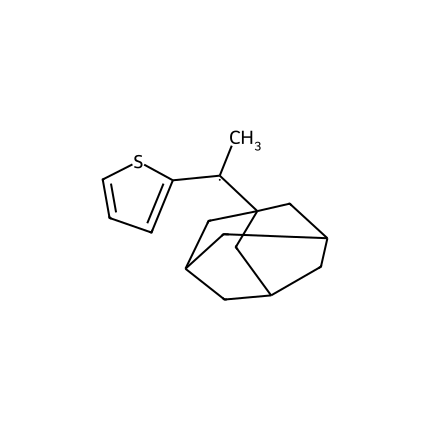 C[C](c1cccs1)C12CC3CC(CC(C3)C1)C2